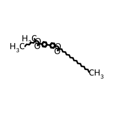 CCCCCCCCCCCCCCCCCC(=O)Oc1ccc(-c2ccc(C(=O)OC(C)CCCCCC)cc2)cc1